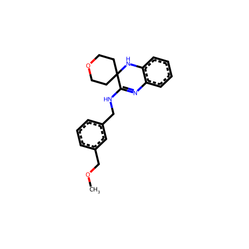 COCc1cccc(CNC2=Nc3ccccc3NC23CCOCC3)c1